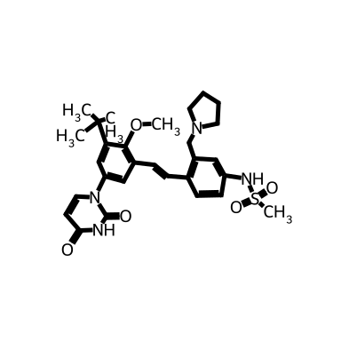 COc1c(C=Cc2ccc(NS(C)(=O)=O)cc2CN2CCCC2)cc(-n2ccc(=O)[nH]c2=O)cc1C(C)(C)C